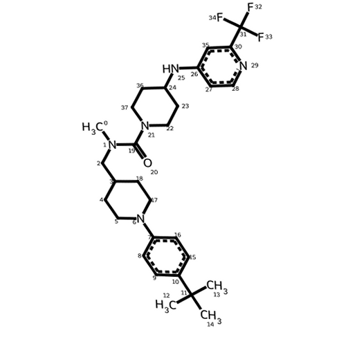 CN(CC1CCN(c2ccc(C(C)(C)C)cc2)CC1)C(=O)N1CCC(Nc2ccnc(C(F)(F)F)c2)CC1